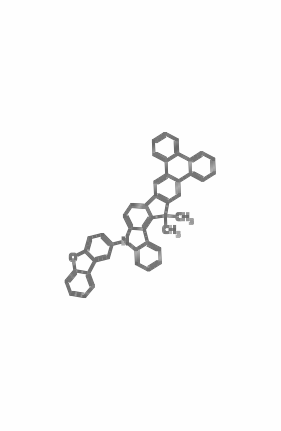 CC1(C)c2cc3c4ccccc4c4ccccc4c3cc2-c2ccc3c(c21)c1ccccc1n3-c1ccc2oc3ccccc3c2c1